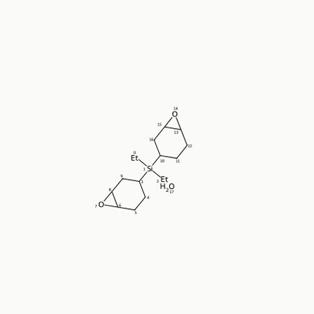 CC[Si](CC)(C1CCC2OC2C1)C1CCC2OC2C1.O